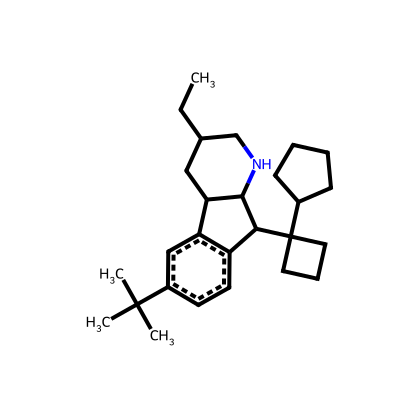 CCC1CNC2C(C1)c1cc(C(C)(C)C)ccc1C2C1(C2CCCC2)CCC1